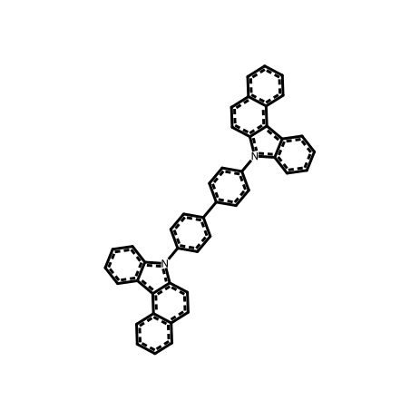 c1ccc2c(c1)ccc1c2c2ccccc2n1-c1ccc(-c2ccc(-n3c4ccccc4c4c5ccccc5ccc43)cc2)cc1